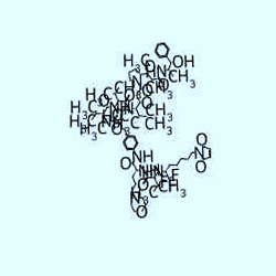 CC[C@H](C)[C@@H]([C@@H](CC(=O)N1CCC[C@H]1[C@H](OC)[C@@H](C)C(=O)N[C@H](C)[C@@H](O)c1ccccc1)OC)N(C)C(=O)[C@@H](NC(=O)[C@H](C(C)C)N(C)C(=O)OCc1ccc(NC(=O)[C@H](CCCN2CCOCC2)NC(=O)[C@@H](N[C@@H](CCCCCN2C(=O)C=CC2=O)C(F)(F)F)C(C)C)cc1)C(C)C